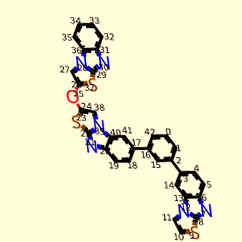 c1cc(-c2ccc3nc4sccn4c3c2)cc(-c2ccc3nc4sc(Oc5cn6c(nc7ccccc76)s5)cn4c3c2)c1